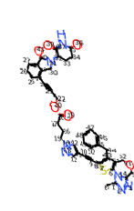 Cc1nnc2n1-c1sc(C#Cc3cnn(CCCC(=O)OCC#Cc4cccc5c4CN(C4CCC(=O)NC4=O)C5=O)c3)c(Cc3ccccc3)c1COC2